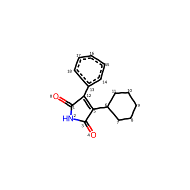 O=C1NC(=O)C(C2CCCCC2)=C1c1ccccc1